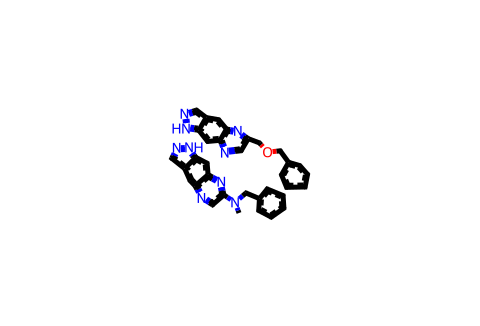 CN(Cc1ccccc1)c1cnc2cc3cn[nH]c3cc2n1.c1ccc(COCc2cnc3cc4[nH]ncc4cc3n2)cc1